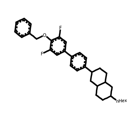 CCCCCCC1CCC2CC(c3ccc(-c4cc(F)c(OCc5ccccc5)c(F)c4)cc3)CCC2C1